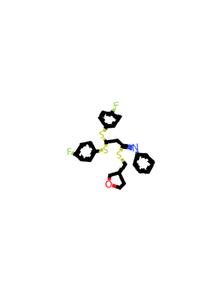 Fc1ccc(SC(CC(=Nc2ccccc2)SCC2CCOC2)Sc2ccc(F)cc2)cc1